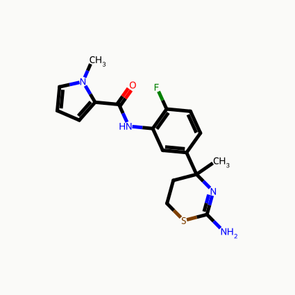 Cn1cccc1C(=O)Nc1cc(C2(C)CCSC(N)=N2)ccc1F